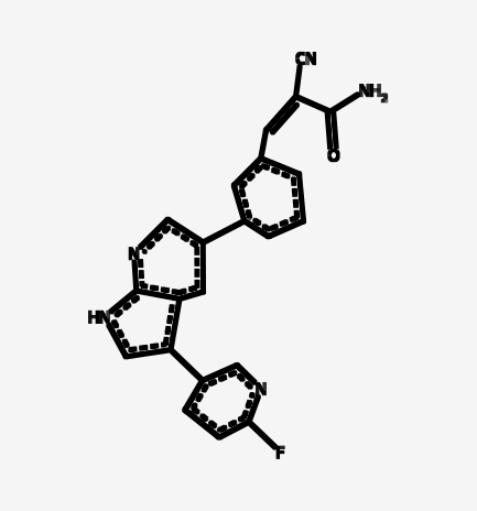 N#CC(=Cc1cccc(-c2cnc3[nH]cc(-c4ccc(F)nc4)c3c2)c1)C(N)=O